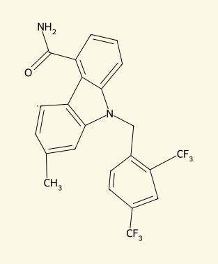 Cc1c[c]c2c3c(C(N)=O)cccc3n(Cc3ccc(C(F)(F)F)cc3C(F)(F)F)c2c1